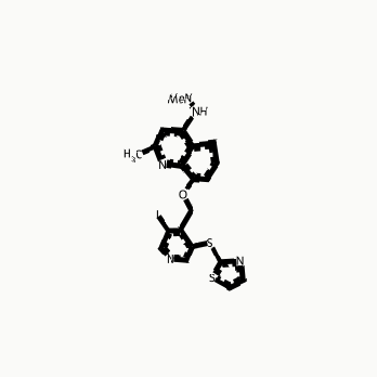 CNNc1cc(C)nc2c(OCc3c(I)cncc3Sc3nccs3)cccc12